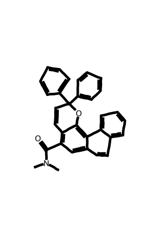 CN(C)C(=O)c1cc2ccc3ccccc3c2c2c1C=CC(c1ccccc1)(c1ccccc1)O2